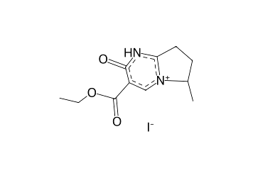 CCOC(=O)c1c[n+]2c([nH]c1=O)CCC2C.[I-]